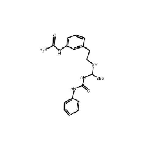 CCCCC(NCCc1cccc(NC(N)=O)c1)NC(=O)Nc1ccccc1